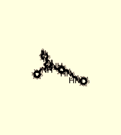 CN1CCN(c2cc(NCc3ccccc3)nc(NCc3ccc(CNCCCNC4CCCCC4)cc3)n2)CC1